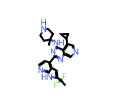 CC1(Nc2nc(-c3ccnc4[nH]c(C(C)(F)F)cc34)nc3cncc(C4CC4)c23)CCNCC1